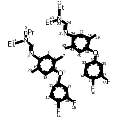 CCCN(C=Nc1cc(C)c(Oc2ccc(F)c(F)c2)cc1C)CC.CCN(C=Nc1cc(C)c(Oc2ccc(F)c(F)c2)cc1C)CC